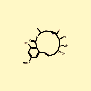 COc1cc(O)c2c(c1)/C=C/C[C@H](O)[C@H](O)C(O)/C(F)=C\CC(C)OC2=O